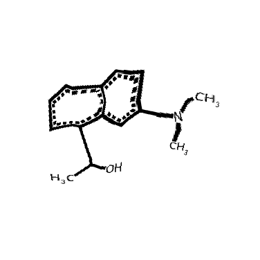 CC(O)c1cccc2ccc(N(C)C)cc12